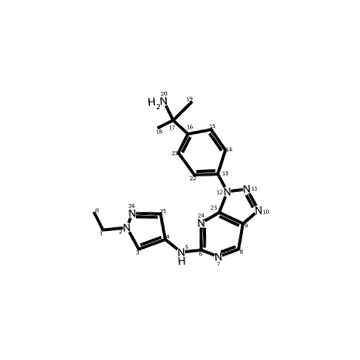 CCn1cc(Nc2ncc3nnn(-c4ccc(C(C)(C)N)cc4)c3n2)cn1